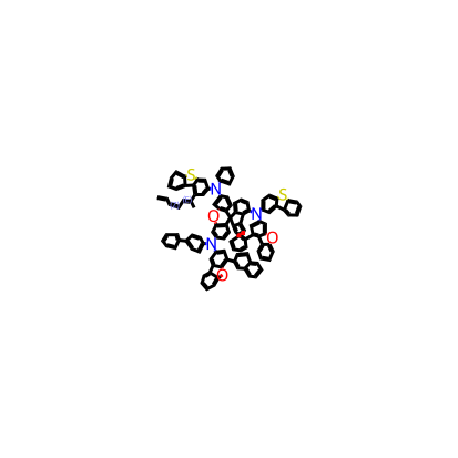 C=C/C=C\C=C(/C)c1cc(N(c2ccccc2)c2ccc3c(c2)Oc2cc(N(c4ccc(-c5ccccc5)cc4)c4cc(-c5ccc6ccccc6c5)c5oc6ccccc6c5c4)ccc2C32c3ccccc3-c3c(N(c4cc(-c5ccccc5)c5c(c4)oc4ccccc45)c4ccc5sc6ccccc6c5c4)cccc32)cc2sc3ccccc3c12